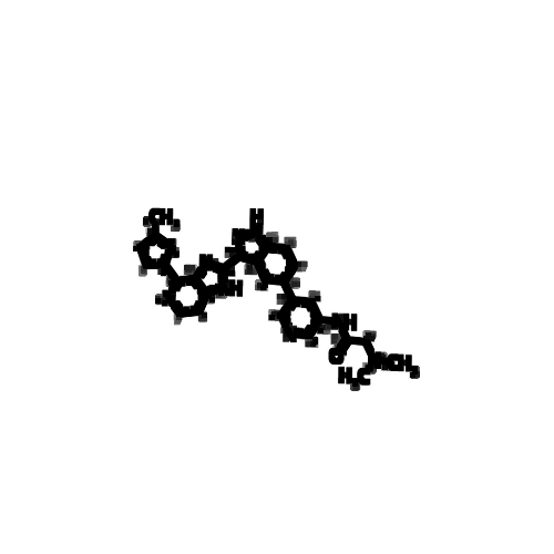 Cc1ccc(-c2nccc3[nH]c(-c4n[nH]c5ccc(-c6cncc(NC(=O)CN(C)C)c6)cc45)nc23)s1